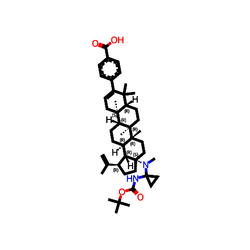 C=C(C)[C@@H]1CC[C@]2(N(C)C3(NC(=O)OC(C)(C)C)CC3)CC[C@]3(C)[C@H](CC[C@@H]4[C@@]5(C)CC=C(c6ccc(C(=O)O)cc6)C(C)(C)[C@@H]5CC[C@]43C)[C@@H]12